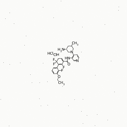 CCOc1cccc(C2=C(F)C(C(=O)Nc3cnccc3N3C[C@H](C)C[C@H](N)C3)=CCC2(F)F)c1F.Cl.Cl